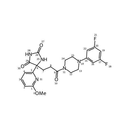 COc1cccc(C2(CCC(=O)N3CCN(c4cc(F)cc(F)c4)CC3)NC(=O)NC2=O)n1